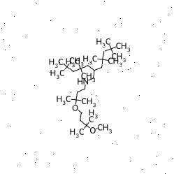 COC(C)(C)CCOC(C)(C)CCNCC(CC(C)(C)CC(C)(C)C)CC(C)(C)CC(C)(C)C